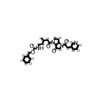 CC(CCNC(=O)OCc1ccccc1)CC(=O)N1CCC2C1C(=O)CN2C(=O)Cc1cccnc1